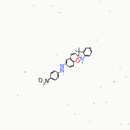 CN1c2ccccc2C(C)(C)C12C=Cc1cc(/N=N/c3ccc([N+](=O)[O-])cc3)ccc1O2